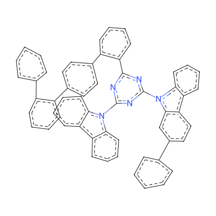 c1ccc(-c2ccc3c4ccccc4n(-c4nc(-c5ccccc5-c5ccc(-c6ccccc6-c6ccccc6)cc5)nc(-n5c6ccccc6c6ccccc65)n4)c3c2)cc1